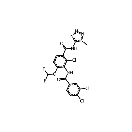 Cn1nnnc1NC(=O)c1ccc(OC(F)F)c(NC(=O)c2ccc(Cl)c(Cl)c2)c1Cl